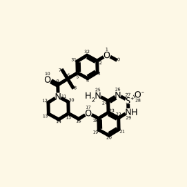 COc1ccc(C(C)(C)C(=O)N2CCCC(COc3cccc4c3C(N)=N[S+]([O-])N4)C2)cc1